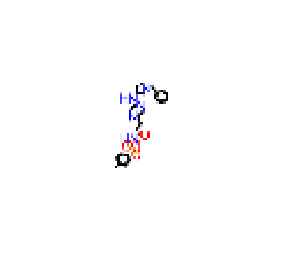 Cc1ccc(S(=O)(=O)ONC(=O)/C=C/c2cnc(N[C@@H]3CCN(Cc4ccccc4)C3)cn2)cc1